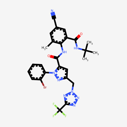 Cc1cc(C#N)cc(C(=O)NC(C)(C)C)c1NC(=O)c1cc(Cn2nnc(C(F)(F)F)n2)nn1-c1ccccc1Br